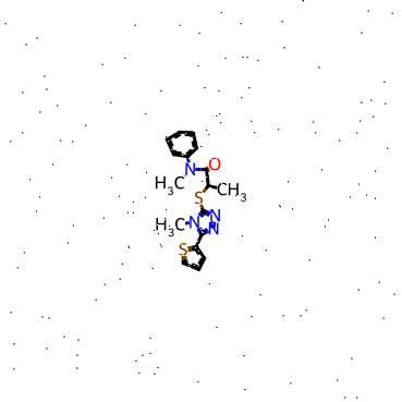 CC(Sc1nnc(-c2cccs2)n1C)C(=O)N(C)c1ccccc1